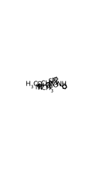 Cc1nnc(C(C)(C)c2cnc3nc(N4CCCC4C(=O)NCc4ccccc4)sc3c2)o1